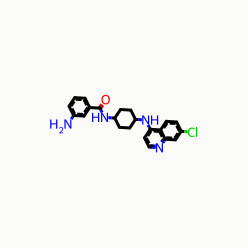 Nc1cccc(C(=O)NC2CCC(Nc3ccnc4cc(Cl)ccc34)CC2)c1